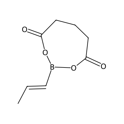 C/C=C/B1OC(=O)CCCC(=O)O1